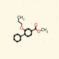 CCCOc1cc(C(=O)OC)ccc1-c1ccccc1